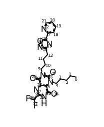 CCCCCn1c(=O)n(CCCCc2noc(-c3ccccn3)n2)c(=O)c2nc(C(F)F)[nH]c(=O)c21